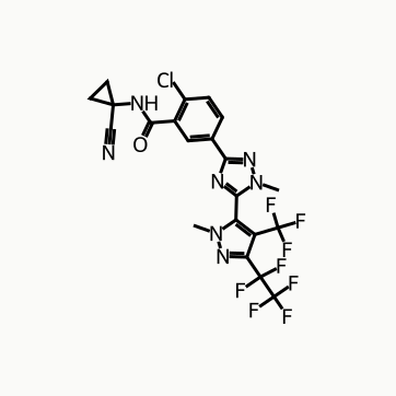 Cn1nc(-c2ccc(Cl)c(C(=O)NC3(C#N)CC3)c2)nc1-c1c(C(F)(F)F)c(C(F)(F)C(F)(F)F)nn1C